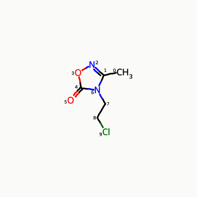 Cc1noc(=O)n1CCCl